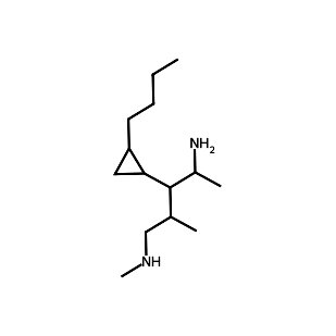 CCCCC1CC1C(C(C)N)C(C)CNC